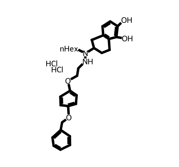 CCCCCCN(NCCOc1ccc(OCc2ccccc2)cc1)C1CCc2c(ccc(O)c2O)C1.Cl.Cl